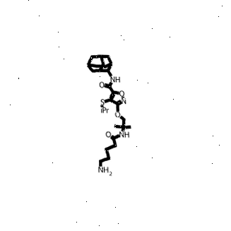 CC(C)Sc1c(OCC(C)(C)NC(=O)CCCCN)noc1C(=O)NC1C2CC3CC(C2)CC1C3